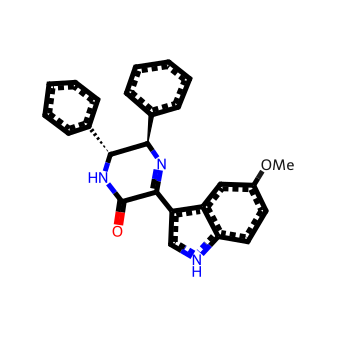 COc1ccc2[nH]cc(C3=N[C@H](c4ccccc4)[C@@H](c4ccccc4)NC3=O)c2c1